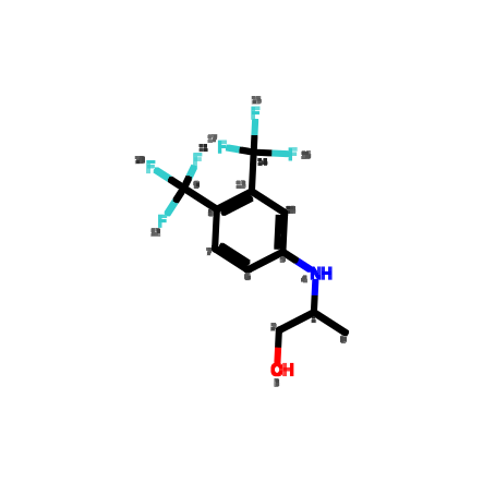 CC(CO)Nc1ccc(C(F)(F)F)c(C(F)(F)F)c1